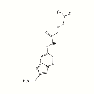 NCc1cn2ncc(CNC(=O)COCC(F)F)cc2n1